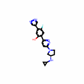 Oc1cc(-c2cn[nH]c2)c(F)cc1-c1ccc(N2CC[C@@H](NC3CC3)C2)nn1